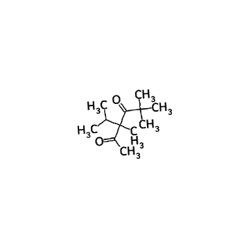 CC(=O)C(C)(C(=O)C(C)(C)C)C(C)C